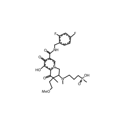 COCCC1(C)C(=O)c2c(O)c(=O)c(C(=O)NCc3ccc(F)cc3F)cn2CC1N(C)CCCP(C)(=O)O